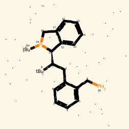 CC(C)(C)C(Cc1ccccc1CP)[C@@H]1c2ccccc2CP1C(C)(C)C